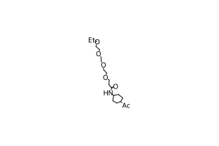 CCOCCOCCOCCOCCC(=O)N[C@H]1CC[C@@H](C(C)=O)CC1